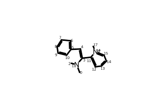 CN(C)C(=Cc1ccccc1)c1cccc[n+]1C